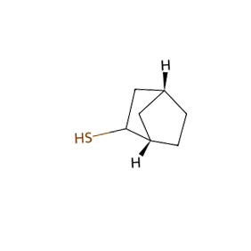 SC1C[C@@H]2CC[C@H]1C2